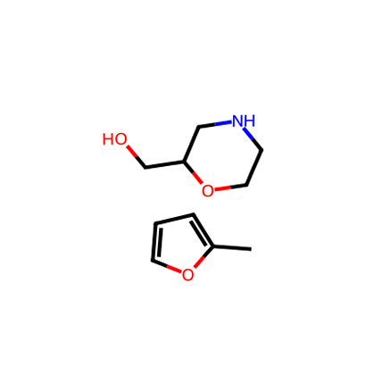 Cc1ccco1.OCC1CNCCO1